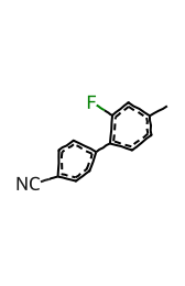 Cc1ccc(-c2ccc(C#N)cc2)c(F)c1